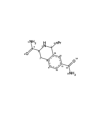 CCCC1NC(C(N)=O)Cc2ccc(C(N)=O)cc21